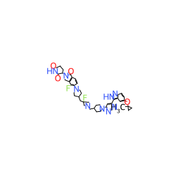 CC1(Oc2ccc3n[nH]c(-c4cc(N5CCC(CN6CC(F)(CC7CCN(c8ccc9c(c8F)CN(C8CCC(=O)NC8=O)C9=O)CC7)C6)CC5)ncn4)c3c2)CC1